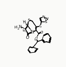 N[C@@H]1C(=O)N2C(C(=O)OC(c3ccccc3)c3ccccc3)=C(Sc3cnns3)CS[C@@H]12